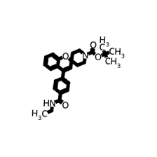 CCNC(=O)c1ccc(C2=CC3(CCN(C(=O)OC(C)(C)C)CC3)Oc3ccccc32)cc1